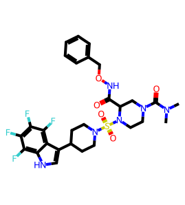 CN(C)C(=O)N1CCN(S(=O)(=O)N2CCC(c3c[nH]c4c(F)c(F)c(F)c(F)c34)CC2)C(C(=O)NOCc2ccccc2)C1